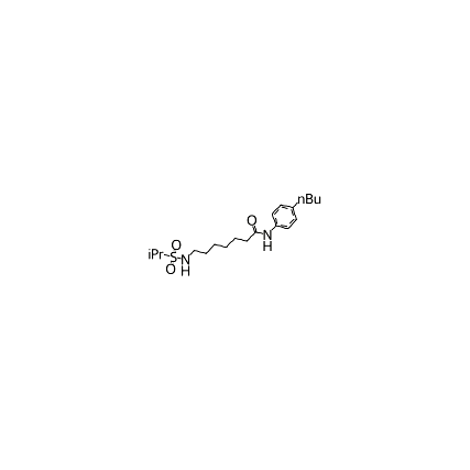 CCCCc1ccc(NC(=O)CCCCCCNS(=O)(=O)C(C)C)cc1